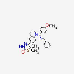 COc1ccc(C(=NCc2ccccc2)N2CCCc3cc(C4=NNC(=O)SC4(C)C)ccc32)cc1